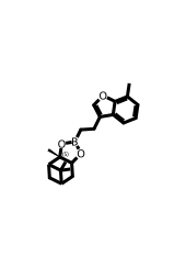 Cc1cccc2c(CCB3OC4CC5CC(C5(C)C)[C@]4(C)O3)coc12